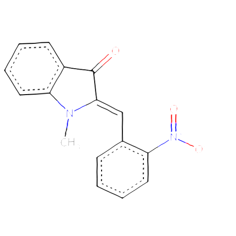 CN1C(=Cc2ccccc2[N+](=O)[O-])C(=O)c2ccccc21